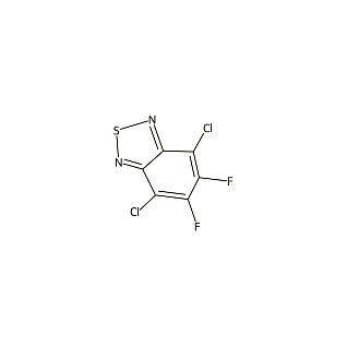 Fc1c(F)c(Cl)c2nsnc2c1Cl